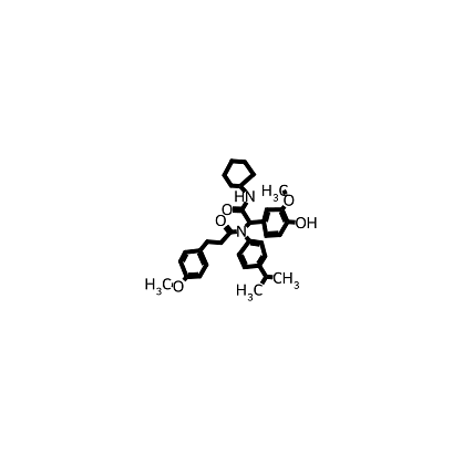 COc1ccc(CCC(=O)N(c2ccc(C(C)C)cc2)C(C(=O)NC2CCCCC2)c2ccc(O)c(OC)c2)cc1